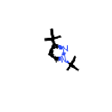 CC(C)(C)c1c[c]n(C(C)(C)C)n1